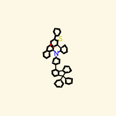 c1ccc(C2(c3ccccc3)c3ccccc3-c3c(-c4ccc(N(c5ccccc5-c5cccc6c5sc5ccccc56)c5cccc6ccccc56)cc4)cccc32)cc1